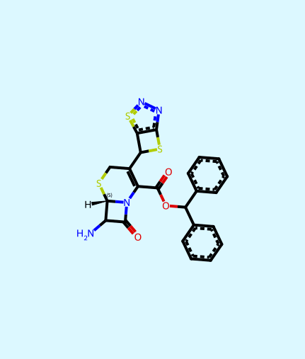 NC1C(=O)N2C(C(=O)OC(c3ccccc3)c3ccccc3)=C(C3Sc4nnsc43)CS[C@@H]12